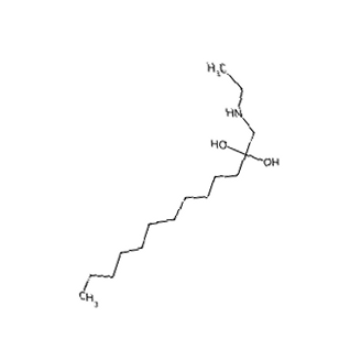 CCCCCCCCCCCC(O)(O)CNCC